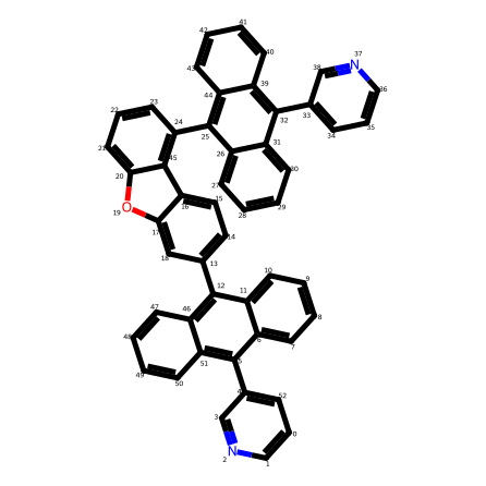 c1cncc(-c2c3ccccc3c(-c3ccc4c(c3)oc3cccc(-c5c6ccccc6c(-c6cccnc6)c6ccccc56)c34)c3ccccc23)c1